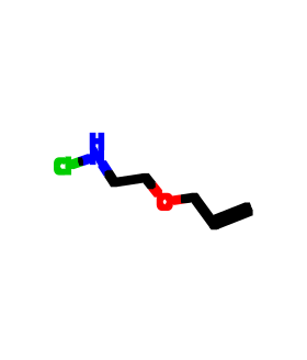 C=CCOCCNCl